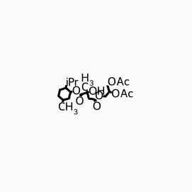 CC(=O)OCC(COC(=O)CC(C)(O)C(=O)OC1CC(C)CCC1C(C)C)OC(C)=O